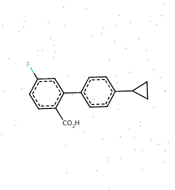 O=C(O)c1ccc(F)cc1-c1ccc(C2CC2)cc1